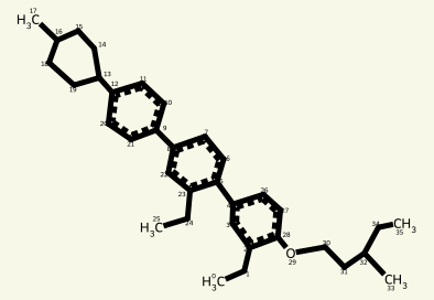 CCc1cc(-c2ccc(-c3ccc(C4CCC(C)CC4)cc3)cc2CC)ccc1OCCC(C)CC